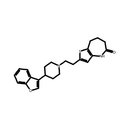 O=C1CCCc2sc(CCN3CCC(c4coc5ccccc45)CC3)cc2N1